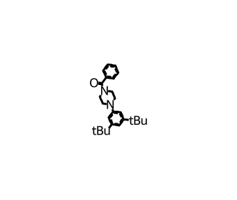 CC(C)(C)c1cc(N2CCN(C(=O)c3ccccc3)CC2)cc(C(C)(C)C)c1